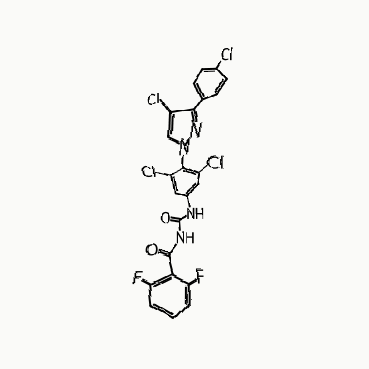 O=C(NC(=O)c1c(F)cccc1F)Nc1cc(Cl)c(-n2cc(Cl)c(-c3ccc(Cl)cc3)n2)c(Cl)c1